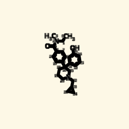 CCN(C)C(=O)c1ccc(C2(c3cccc(O)c3)CCCN(CC3CC3)C2)cc1